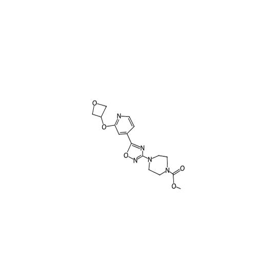 COC(=O)N1CCN(c2noc(-c3ccnc(OC4COC4)c3)n2)CC1